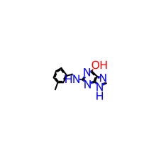 Cc1cccc(CNc2nc(O)c3nc[nH]c3n2)c1